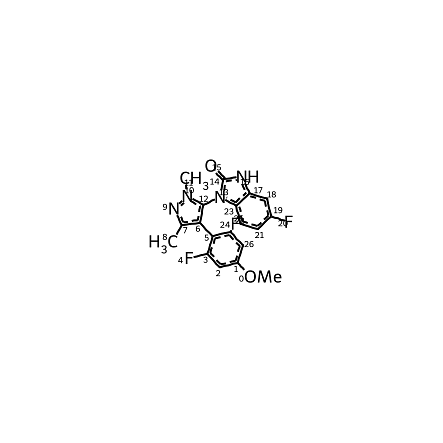 COc1cc(F)c(-c2c(C)nn(C)c2-n2c(=O)[nH]c3cc(F)ccc32)c(F)c1